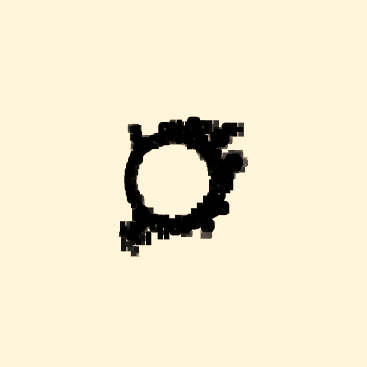 CC[C@H](C)[C@@H]1NC(=O)[C@H](CC(=O)O)NC(=O)[C@H](CCOC)NC(=O)[C@@H]2CCCN2C(=O)[C@H](C)NC(=O)[C@H](CCCNC(=N)N)NC(=O)/C=N/OCCCCCCOc2cc(CSC)cc(c2)CSC[C@@H](C(N)=O)NC(=O)[C@H](CCC(=O)O)NC(=O)[C@H](CCc2ccc(O)cc2)NC(=O)[C@H](Cc2c[nH]c3ccccc23)NC1=O